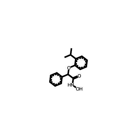 CC(C)c1ccccc1OC(C(=O)NO)c1ccccc1